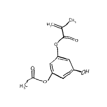 C=C(C)C(=O)Oc1cc(O)cc(OC(C)=O)c1